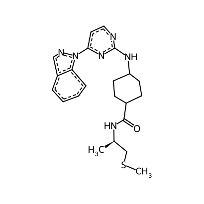 CSC[C@@H](C)NC(=O)C1CCC(Nc2nccc(-n3ncc4ccccc43)n2)CC1